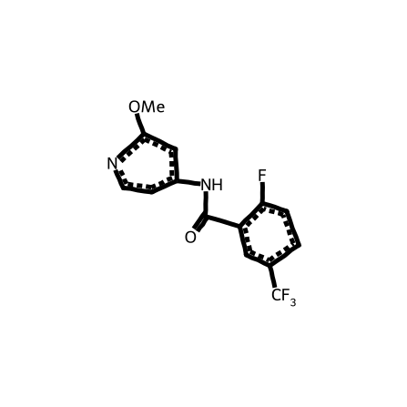 COc1cc(NC(=O)c2cc(C(F)(F)F)ccc2F)ccn1